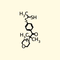 CC(S)Sc1ccc(C(=O)C(C)(C)N2CCOCC2)cc1